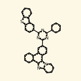 c1ccc(-c2nc(-c3ccc4sc5ccccc5c4c3)nc(-c3ccc4c(c3)c3ccccc3c3nc5ccccn5c43)n2)cc1